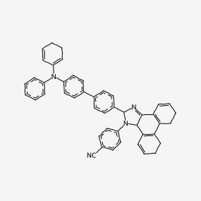 N#Cc1ccc(N2C3C(=NC2c2ccc(-c4ccc(N(C5=CCCC=C5)c5ccccc5)cc4)cc2)C2=C(CCC=C2)C2=C3C=CCC2)cc1